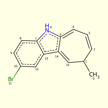 CC1C=CC=c2[nH]c3ccc(Br)cc3c2=C1